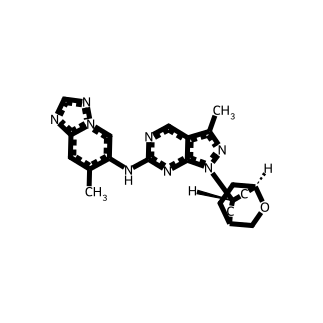 Cc1cc2ncnn2cc1Nc1ncc2c(C)nn([C@H]3CC4CC[C@H](C3)OC4)c2n1